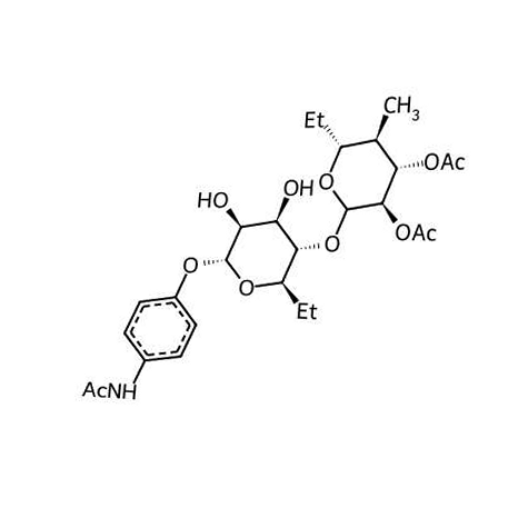 CC[C@H]1OC(O[C@H]2[C@H](O)[C@H](O)[C@@H](Oc3ccc(NC(C)=O)cc3)O[C@@H]2CC)[C@H](OC(C)=O)[C@@H](OC(C)=O)[C@@H]1C